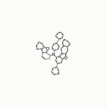 C1=Cc2c(oc3ccccc23)C(N(c2ccc(-c3ccccc3)cc2)c2cc(-c3ccccc3)cc3oc4cc5ccccc5cc4c23)C1